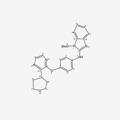 COn1c(Nc2ccc(Oc3nccnc3C3CCOCC3)cc2)nc2ccccc21